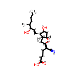 CCCC[C@H](C)[C@H](O)C=C[C@H]1C(O)C[C@@H]2OC(=C(C#N)CCCC(=O)O)C[C@@H]21